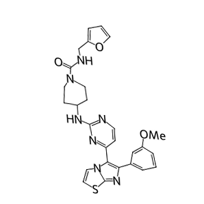 COc1cccc(-c2nc3sccn3c2-c2ccnc(NC3CCN(C(=O)NCc4ccco4)CC3)n2)c1